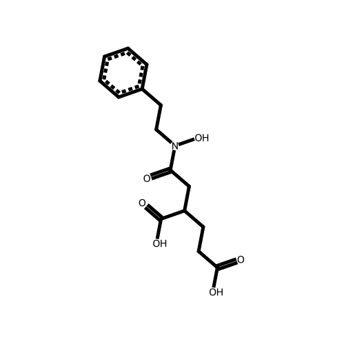 O=C(O)CCC(CC(=O)N(O)CCc1ccccc1)C(=O)O